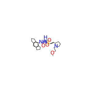 COCCN1CCC[C@@H]1/C=C/S(=O)(=O)NC(=O)Nc1c2c(cc3c1CCC3)CCC2